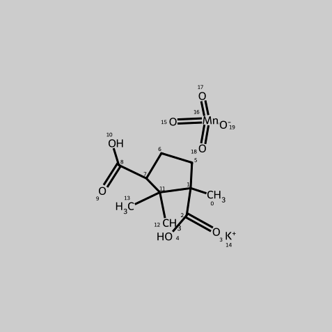 CC1(C(=O)O)CCC(C(=O)O)C1(C)C.[K+].[O]=[Mn](=[O])(=[O])[O-]